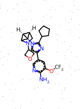 Nc1ncc(-c2cn([C@@]34C5[C@H]3[C@H]4CN5C3COC3)c(C3CCCC3)n2)cc1OC(F)(F)F